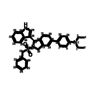 CCN(CC)c1ccc(-c2ccc3c(c2)CN(S(=O)(=O)Cc2ccccc2)[C@H]3c2c[nH]c3ccccc23)cc1